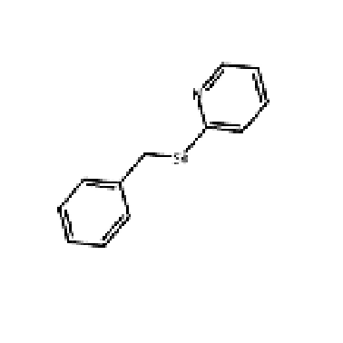 c1ccc(C[Se]c2ccccn2)cc1